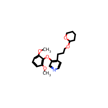 COc1cccc(OC)c1Oc1cnccc1CCCOC1CCCCO1